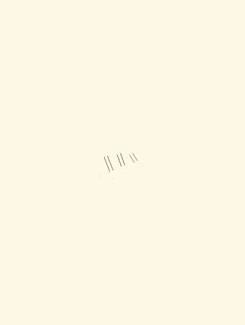 [O]=[AlH].[O]=[Zr].[O]=[Zr]